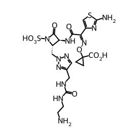 NCCNC(=O)NCc1cnn(C[C@H]2[C@H](NC(=O)C(=NOC3(C(=O)O)CC3)c3csc(N)n3)C(=O)N2S(=O)(=O)O)n1